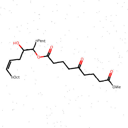 CCCCCCCC/C=C\CC(O)C(CCCCC)OC(=O)CCCC(=O)CCCC(=O)OC